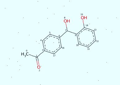 CC(=O)c1ccc(C(O)c2ccccc2O)cc1